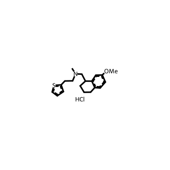 COc1ccc2c(c1)C(CN(C)CCc1cccs1)CCC2.Cl